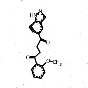 COc1ccccc1C(=O)CCC(=O)c1c#cc2[nH]ncc2c1